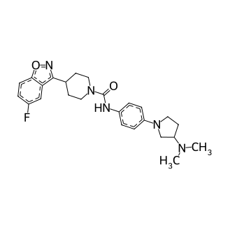 CN(C)C1CCN(c2ccc(NC(=O)N3CCC(c4noc5ccc(F)cc45)CC3)cc2)C1